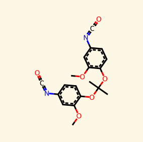 COc1cc(N=C=O)ccc1OC(C)(C)Oc1ccc(N=C=O)cc1OC